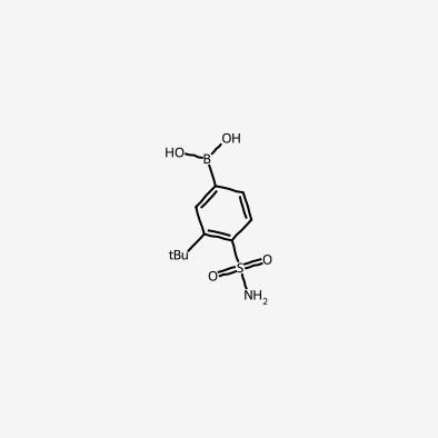 CC(C)(C)c1cc(B(O)O)ccc1S(N)(=O)=O